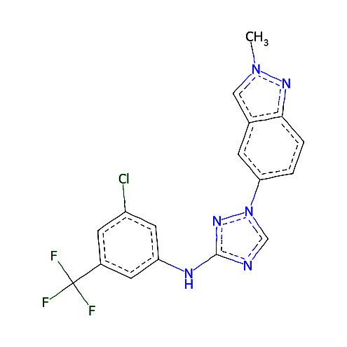 Cn1cc2cc(-n3cnc(Nc4cc(Cl)cc(C(F)(F)F)c4)n3)ccc2n1